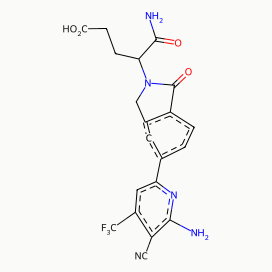 N#Cc1c(C(F)(F)F)cc(-c2ccc3c(c2)CN(C(CCC(=O)O)C(N)=O)C3=O)nc1N